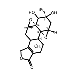 CC(C)[C@]1(O)C[C@@H]2O[C@@]23[C@@]2(C)CCC4=C(COC4=O)C2C[C@@H]2O[C@@]23C1O